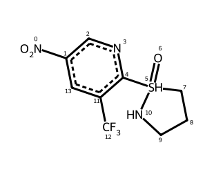 O=[N+]([O-])c1cnc([SH]2(=O)CCCN2)c(C(F)(F)F)c1